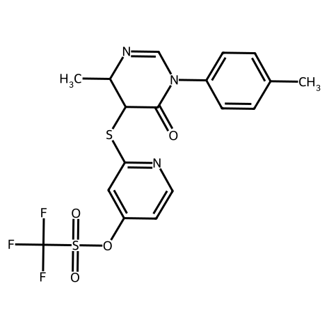 Cc1ccc(N2C=NC(C)C(Sc3cc(OS(=O)(=O)C(F)(F)F)ccn3)C2=O)cc1